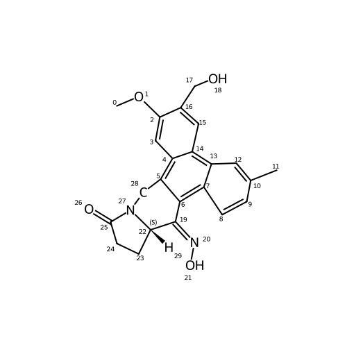 COc1cc2c3c(c4ccc(C)cc4c2cc1CO)C(=NO)[C@@H]1CCC(=O)N1C3